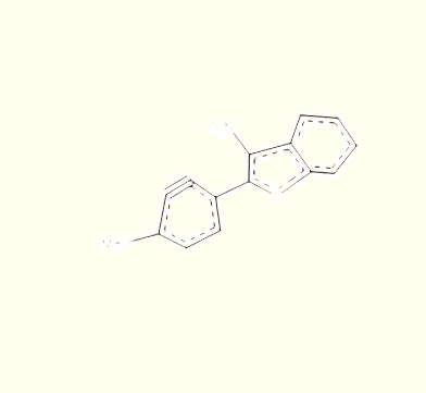 COc1c#cc(-c2sc3ccccc3c2[N+](=O)[O-])cc1